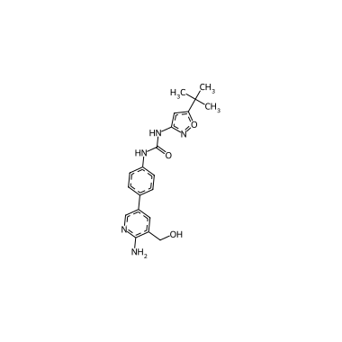 CC(C)(C)c1cc(NC(=O)Nc2ccc(-c3cnc(N)c(CO)c3)cc2)no1